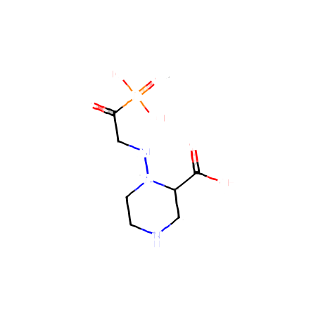 O=C(O)C1CNCCN1NCC(=O)P(=O)(O)O